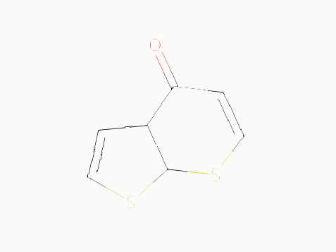 O=C1C=CSC2SC=CC12